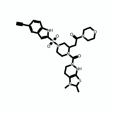 C#Cc1ccc2[nH]c(S(=O)(=O)N3CCN(C(=O)N4CCC5=C(N4)SC(C)N5C)C(CC(=O)N4CCOCC4)C3)cc2c1